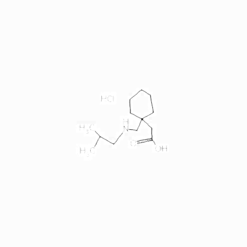 CC(C)CNCC1(CC(=O)O)CCCCC1.Cl